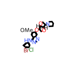 COc1cc2c(Nc3ccc(Br)c(Cl)c3)ncnc2cc1O[C@H]1CO[C@H]2[C@@H]1OC[C@@H]2N1CCCCC1